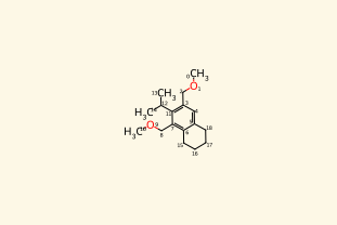 COCc1cc2c(c(COC)c1C(C)C)CCCC2